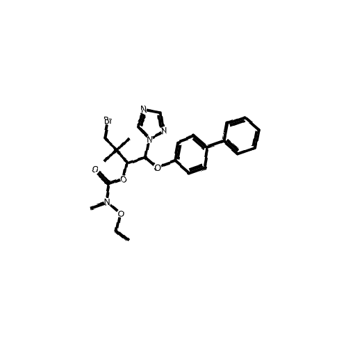 CCON(C)C(=O)OC(C(Oc1ccc(-c2ccccc2)cc1)n1cncn1)C(C)(C)CBr